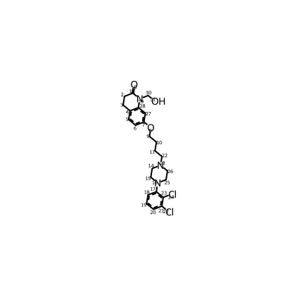 O=C1CCc2ccc(OCCCCN3CCN(c4cccc(Cl)c4Cl)CC3)cc2N1CO